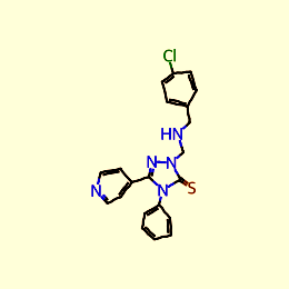 S=c1n(CNCc2ccc(Cl)cc2)nc(-c2ccncc2)n1-c1ccccc1